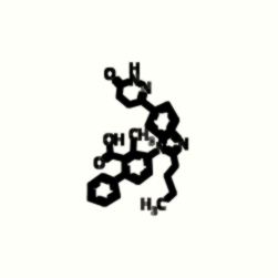 CCCCc1nc2ccc(C3=NNC(=O)CC3)cc2n1-c1ccc(-c2ccccc2)c(C(=O)O)c1C